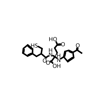 CC(=O)c1ccc(N[C@@](CCC(=O)O)(NC(=O)C(CS)Cc2ccccc2)C(=O)O)cc1